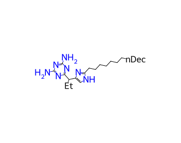 CCCCCCCCCCCCCCCCCc1nc(C(CC)c2nc(N)nc(N)n2)c[nH]1